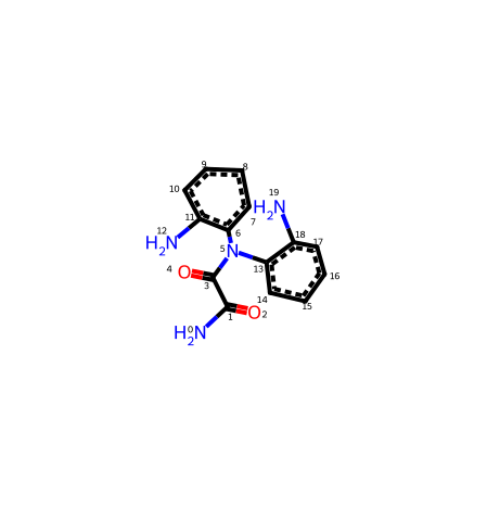 NC(=O)C(=O)N(c1ccccc1N)c1ccccc1N